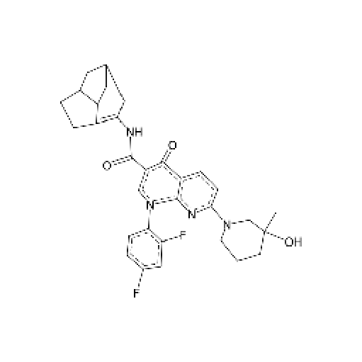 CC1(O)CCCN(c2ccc3c(=O)c(C(=O)NC4=C5CCC6CC(C4)CC56)cn(-c4ccc(F)cc4F)c3n2)C1